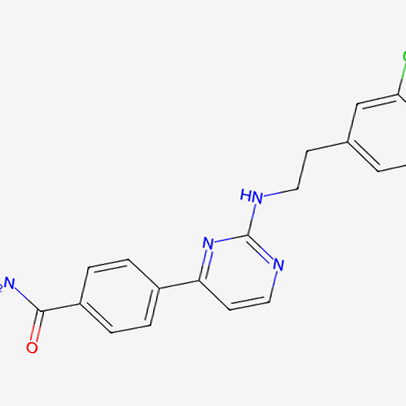 NC(=O)c1ccc(-c2ccnc(NCCc3cccc(Cl)c3)n2)cc1